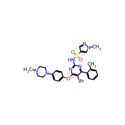 Cc1ccccc1-c1nc(NS(=O)(=O)c2cnn(C)c2)nc(Oc2ccc(N3CCN(C)CC3)cc2)c1C(C)C